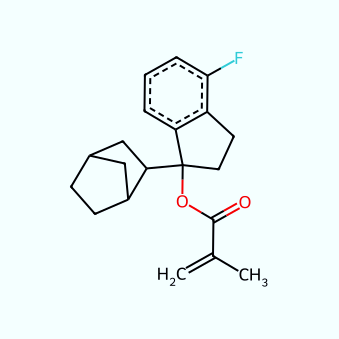 C=C(C)C(=O)OC1(C2CC3CCC2C3)CCc2c(F)cccc21